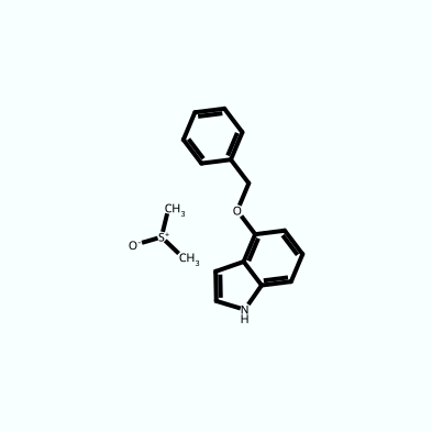 C[S+](C)[O-].c1ccc(COc2cccc3[nH]ccc23)cc1